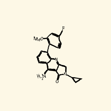 COc1cc(F)ccc1-c1cccc2c(N)c3c(nc12)CN(C1CC1)C3=O